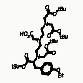 CCOc1ccc(CC(C(=O)OC(C)(C)C)N(CCN(CCN(CC(=O)OC(C)(C)C)CC(=O)OC(C)(C)C)CC(=O)O)CC(=O)OC(C)(C)C)cc1